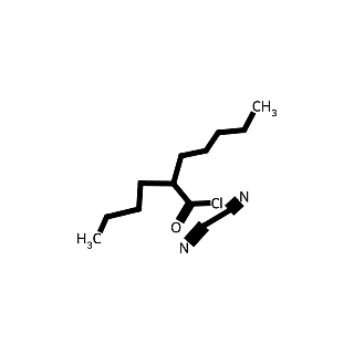 CCCCCC(CCCC)C(=O)Cl.N#CC#N